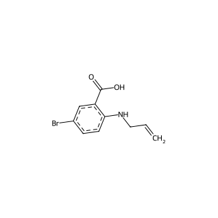 C=CCNc1ccc(Br)cc1C(=O)O